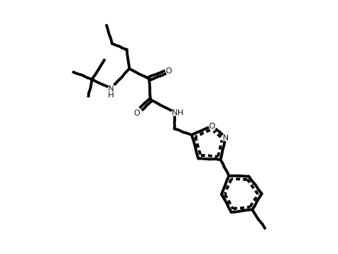 CCCC(NC(C)(C)C)C(=O)C(=O)NCc1cc(-c2ccc(C)cc2)no1